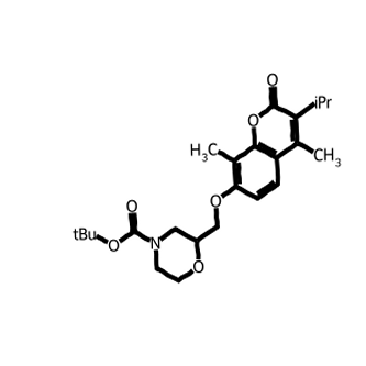 Cc1c(C(C)C)c(=O)oc2c(C)c(OCC3CN(C(=O)OC(C)(C)C)CCO3)ccc12